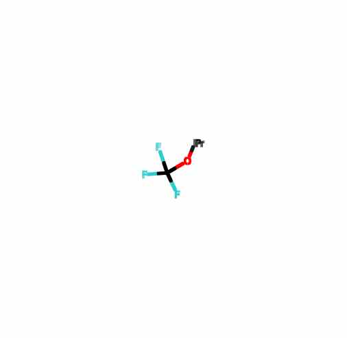 [CH2]C(C)OC(F)(F)F